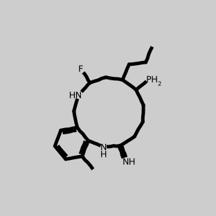 CCCC1CC(F)NCc2cccc(C)c2NC(=N)CCCC1P